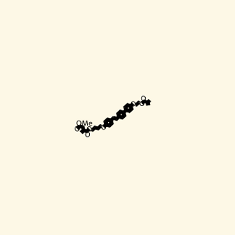 C=C(C)C(=O)OCCOc1ccc(-c2ccc(/C=C/c3ccc(OCCCCOC(=O)C(=C)CC(=O)OC)cc3)cc2)cc1